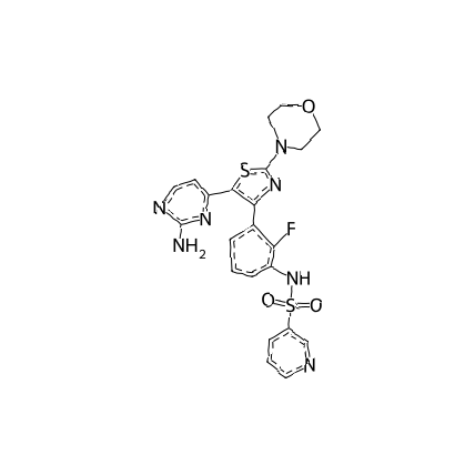 Nc1nccc(-c2sc(N3CCOCC3)nc2-c2cccc(NS(=O)(=O)c3cccnc3)c2F)n1